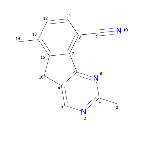 Cc1ncc2c(n1)-c1c(C#N)ccc(C)c1C2